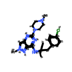 CC(=O)N1CCN(c2nc(NC(C)(C)Cc3ccc(Cl)cc3)c3nn(C(C)C)cc3n2)CC1